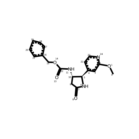 COc1cc([C@H]2NC(=O)C[C@@H]2NC(=O)OCc2ccccc2)ccn1